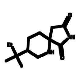 CCC(C)(C)C1CCC2(CC(=O)NC2=O)NC1